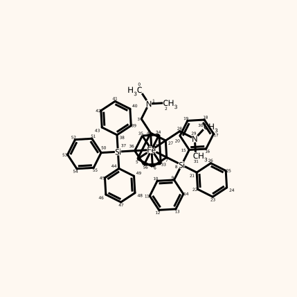 CN(C)C[C]12[CH]3[CH]4[C]5([Si](c6ccccc6)(c6ccccc6)c6ccccc6)[C]1(CN(C)C)[Fe]34251678[CH]2[CH]1[CH]6[C]7([Si](c1ccccc1)(c1ccccc1)c1ccccc1)[CH]28